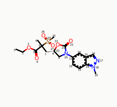 CCOC(=O)C(C)(C[C@H]1CN(c2ccc3c(cnn3C)c2)C(=O)O1)S(C)(=O)=O